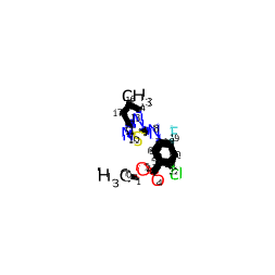 CCOC(=O)c1cc(/N=c2\snc3n2CC(C)C3)c(F)cc1Cl